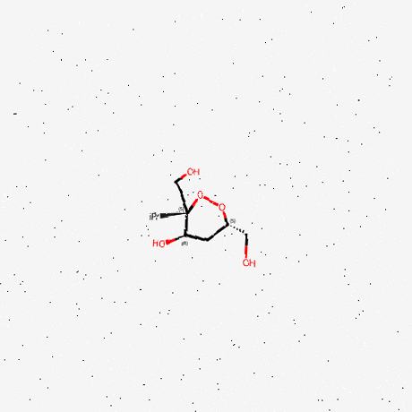 CC(C)[C@@]1(CO)OO[C@H](CO)C[C@H]1O